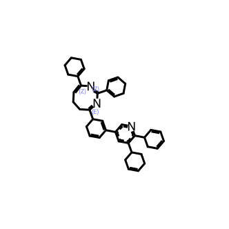 C1=CCC(c2ncc(C3=CC(/C4=N/C(C5=CCCC=C5)=N\C(C5=CCCCC5)=C/CC4)CC=C3)cc2C2CC=CCC2)C=C1